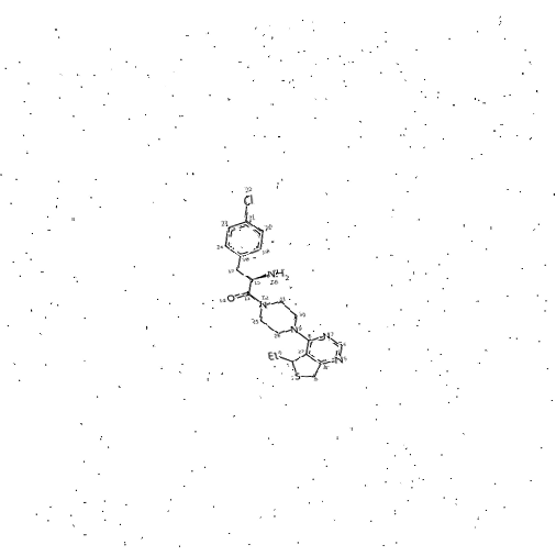 CCC1SCc2ncnc(N3CCN(C(=O)[C@H](N)Cc4ccc(Cl)cc4)CC3)c21